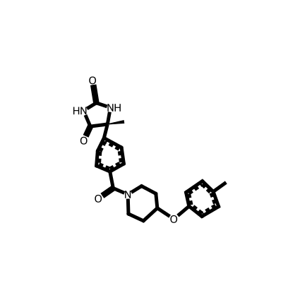 Cc1ccc(OC2CCN(C(=O)c3ccc([C@@]4(C)NC(=O)NC4=O)cc3)CC2)cc1